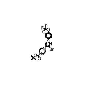 CC(C)(C)OC(=O)N1CCN(c2cn(-c3ccc4c(c3)OC(F)(F)O4)nc2Br)CC1